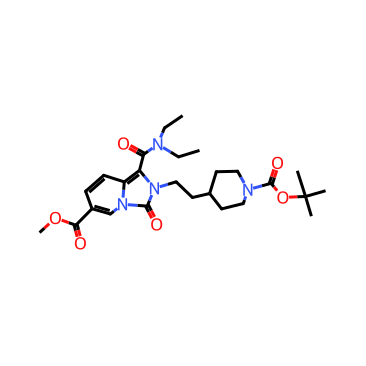 CCN(CC)C(=O)c1c2ccc(C(=O)OC)cn2c(=O)n1CCC1CCN(C(=O)OC(C)(C)C)CC1